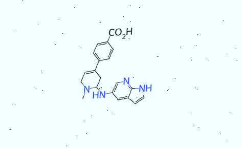 CN1CC=C(c2ccc(C(=O)O)cc2)CC1Nc1cnc2[nH]ccc2c1